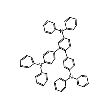 c1ccc(N(c2ccccc2)c2ccc(-c3ccc(N(c4ccccc4)c4ccccc4)cc3-c3ccc(N(c4ccccc4)c4ccccc4)cc3)cc2)cc1